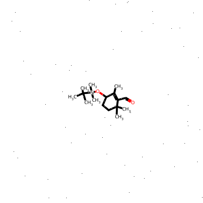 CC1=C(C=O)C(C)(C)CCC1O[Si](C)(C)C(C)(C)C